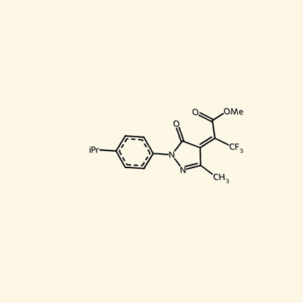 COC(=O)C(=C1C(=O)N(c2ccc(C(C)C)cc2)N=C1C)C(F)(F)F